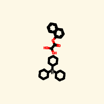 C1CC[CH]([SnH]([CH]2CCCCC2)[CH]2CCCCC2)CC1.O=C(Oc1cccc2ccccc12)C(O)O